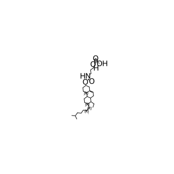 CC(C)CCC[C@@H](C)[C@H]1CCC2C3CC=C4CC(OC(=O)NCCCO[PH](=O)O)CC[C@]4(C)C3CC[C@@]21C